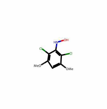 COc1cc(OC)c(Cl)c(NO)c1Cl